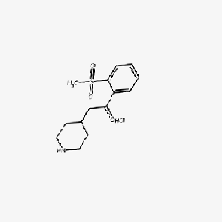 CS(=O)(=O)c1ccccc1C(=O)CC1CCNCC1.Cl